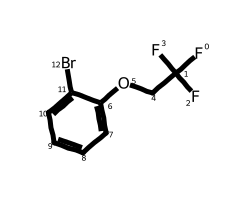 FC(F)(F)COc1ccccc1Br